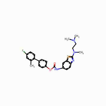 Cc1cc(F)ccc1-c1ccc(OC(=O)Nc2ccc3nc(N(C)CCN(C)C)sc3c2)cc1